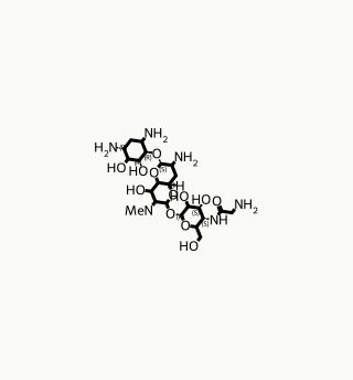 CNC1C(O[C@H]2OC(CO)[C@@H](NC(=O)CN)[C@H](O)C2O)O[C@H]2CC(N)[C@@H](O[C@@H]3C(N)C[C@@H](N)C(O)[C@H]3O)OC2C1O